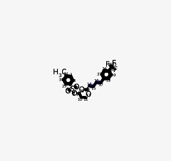 Cc1ccc(S(=O)(=O)O[C@@H]2CCO[C@H](/C=C/C=C/c3ccc(C(F)(F)F)cc3)O2)cc1